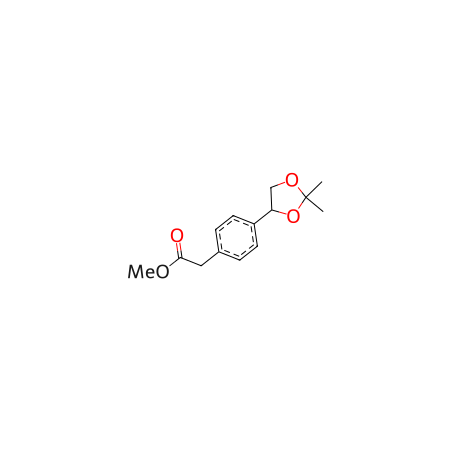 COC(=O)Cc1ccc(C2COC(C)(C)O2)cc1